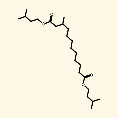 CC(C)CCOC(=O)CCCCCCCCC(C)CC(=O)OCCC(C)C